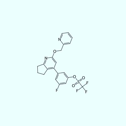 O=S(=O)(Oc1cc(F)cc(-c2cc(OCc3ccccn3)nc3c2CCC3)c1)C(F)(F)F